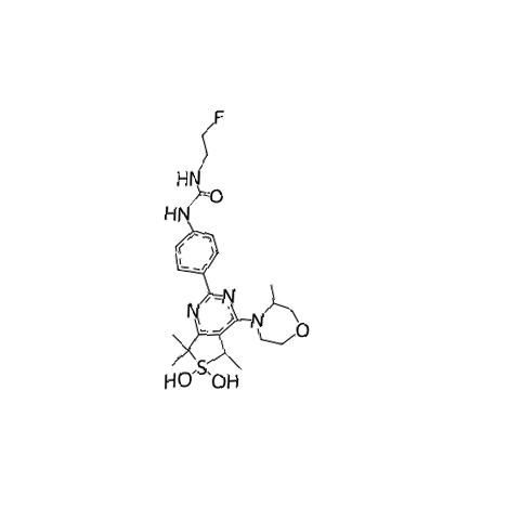 CC1COCCN1c1nc(-c2ccc(NC(=O)NCCF)cc2)nc2c1C(C)S(O)(O)C2(C)C